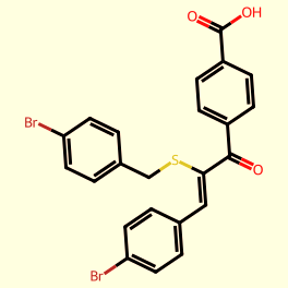 O=C(O)c1ccc(C(=O)C(=Cc2ccc(Br)cc2)SCc2ccc(Br)cc2)cc1